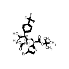 C[C@H](O)[C@@H](c1ccc(C(F)(F)F)cc1)[C@@H](CN(C(=O)OC(C)(C)C)c1ncc(Br)s1)NC(=O)O